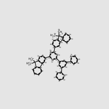 CC1(C)c2ccccc2-c2cc(-c3nc(-c4cc(-c5ccccn5)cc(-c5ccccn5)c4)nc(-c4ccc5c(c4)-c4ccccc4C5(C)C)n3)ccc21